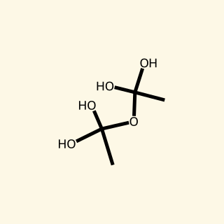 CC(O)(O)OC(C)(O)O